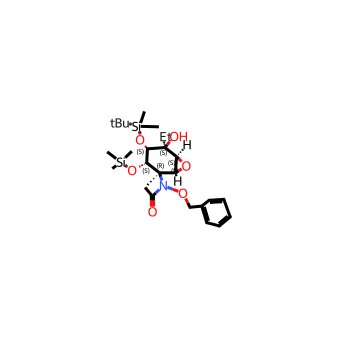 CC[C@]1(O)[C@H]2O[C@H]2[C@]2(CC(=O)N2OCc2ccccc2)[C@H](O[Si](C)(C)C)[C@@H]1O[Si](C)(C)C(C)(C)C